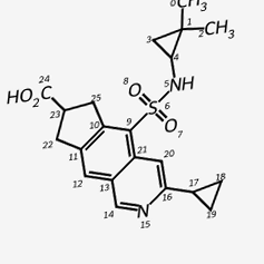 CC1(C)CC1NS(=O)(=O)c1c2c(cc3cnc(C4CC4)cc13)CC(C(=O)O)C2